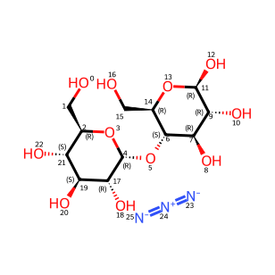 OC[C@H]1O[C@H](O[C@H]2[C@H](O)[C@@H](O)[C@H](O)O[C@@H]2CO)[C@H](O)[C@@H](O)[C@@H]1O.[N-]=[N+]=[N-]